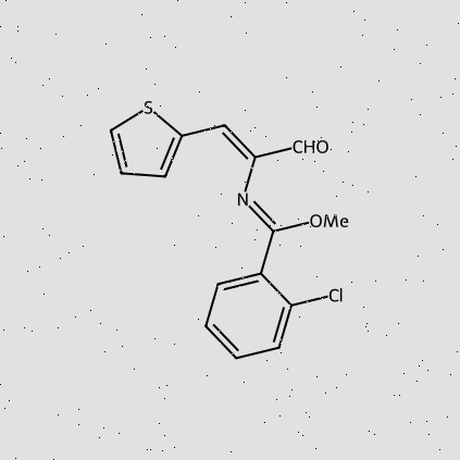 CO/C(=N\C(C=O)=C/c1cccs1)c1ccccc1Cl